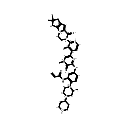 C=CC(=O)Nc1cc(Oc2nc(-c3ccnc(N4CCn5c(cc6c5CC(C)(C)C6)C4=O)c3C)cn(C)c2=O)ccc1N1CCN(C2CCOCC2)C[C@@H]1C